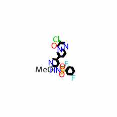 COc1ncc(-c2ccc3ncc(Cl)c(=O)n3c2)cc1NS(=O)(=O)c1cc(F)ccc1F